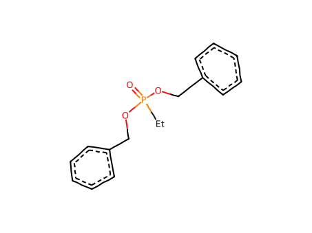 CCP(=O)(OCc1ccccc1)OCc1ccccc1